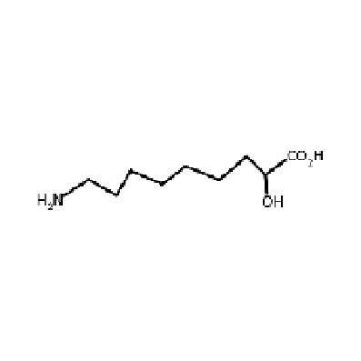 NCCCCCCCC(O)C(=O)O